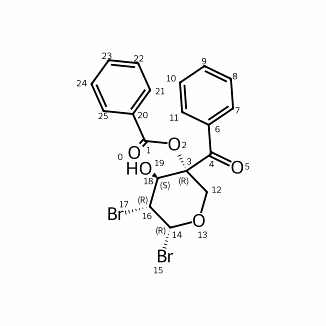 O=C(O[C@]1(C(=O)c2ccccc2)CO[C@H](Br)[C@H](Br)[C@H]1O)c1ccccc1